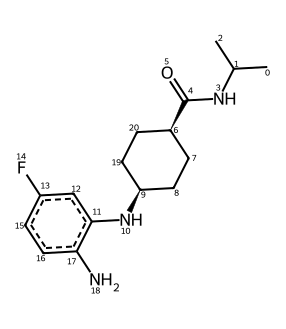 CC(C)NC(=O)[C@H]1CC[C@@H](Nc2cc(F)ccc2N)CC1